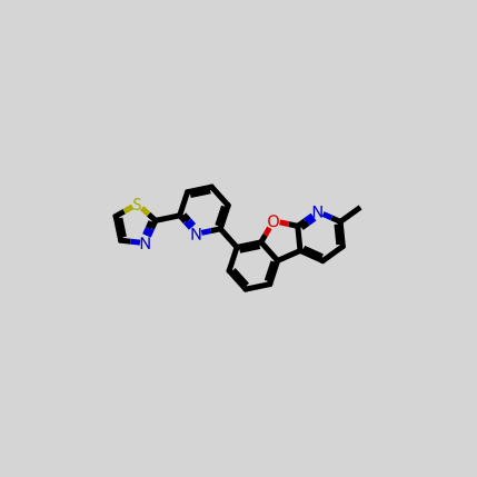 Cc1ccc2c(n1)oc1c(-c3cccc(-c4nccs4)n3)cccc12